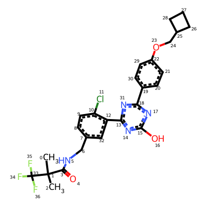 CC(C)(C(=O)NCc1ccc(Cl)c(-c2nc(O)nc(-c3ccc(OCC4CCC4)cc3)n2)c1)C(F)(F)F